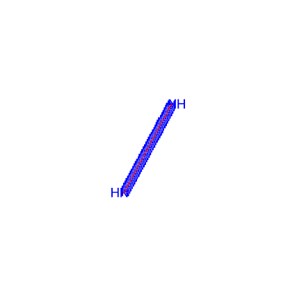 N=N/N=N/N=N/N=N/N=N/N=N/N=N/N=N/N=N/N=N/N=N/N=N/N=N/N=N/N=N/N=N/N=N/N=N/N=N/N=N/N=N/N=N/N=N/N=N/N=N/N=N/N=N/N=N/N=N/N=N/N=N/N=N/N=N/N=N/N=N/N=N/N=N